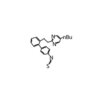 CCCCc1cnc(CCc2ccccc2-c2ccc(N=C=S)cc2)nc1